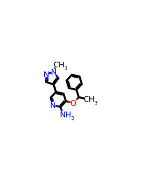 CC(Oc1cc(-c2cnn(C)c2)cnc1N)c1ccccc1